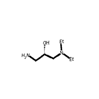 CCN(CC)C[C@@H](O)CN